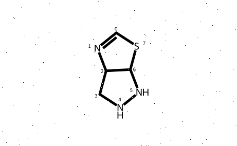 C1=NC2CNNC2S1